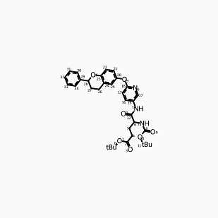 CC(C)(C)OC(=O)CCC(NC(=O)OC(C)(C)C)C(=O)Nc1ccc(Oc2ccc3c(c2)CCC(c2ccccc2)O3)nc1